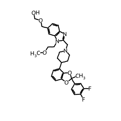 COCCn1c(CN2CCC(c3cccc4c3OC(C)(c3ccc(F)c(F)c3)O4)CC2)nc2ccc(COCO)cc21